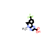 CN(c1ncc(C(=O)O)nc1-c1ccc(C(F)(F)F)cc1)C1CC1